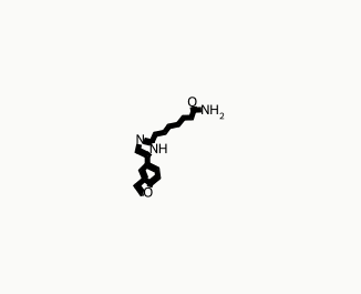 NC(=O)CCCCCCc1ncc(-c2ccc3occc3c2)[nH]1